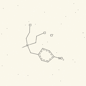 C[N+](CCCl)(CCCl)Cc1ccc([N+](=O)[O-])cc1.[Cl-]